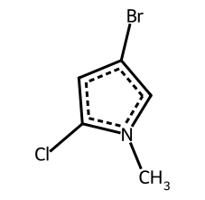 Cn1cc(Br)cc1Cl